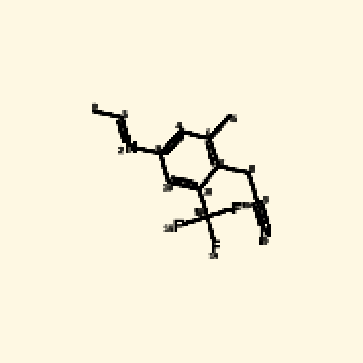 CC=Nc1cc(C)c(CC#N)c(C(F)(F)F)c1